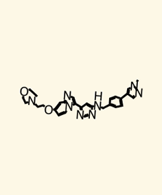 Cn1cc(-c2ccc(CNc3cc(-c4cnc5cc(OCCN6CCOCC6)ccn45)ncn3)cc2)cn1